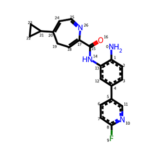 Nc1ccc(-c2ccc(F)nc2)cc1NC(=O)C1=CCC(C2CC2)=CC=N1